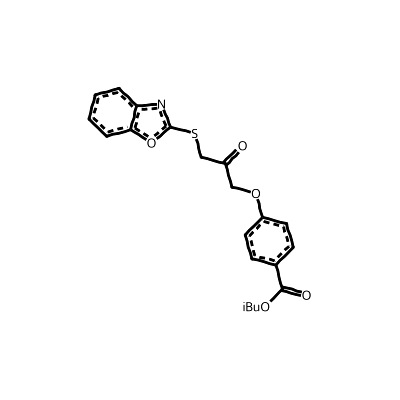 CC(C)COC(=O)c1ccc(OCC(=O)CSc2nc3ccccc3o2)cc1